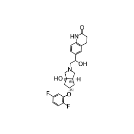 O=C1CCc2cc(C(O)CN3C[C@H]4C[C@H](Oc5cc(F)ccc5F)C[C@@]4(O)C3)ccc2N1